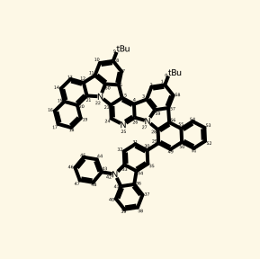 CC(C)(C)c1cc2c3c4c5cc(C(C)(C)C)cc6c7ccc8ccccc8c7n(c4cnc3n3c4c(-c7ccc8c(c7)c7ccccc7n8-c7ccccc7)cc7ccccc7c4c(c1)c23)c65